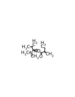 C=C(C)C(=O)N(C)C.C=C(CC)C(=O)O